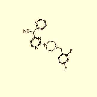 N#CC(c1ccccn1)c1ccnc(N2CCN(Cc3ccc(F)cc3F)CC2)n1